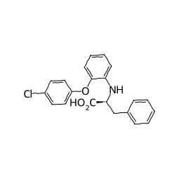 O=C(O)[C@H](Cc1ccccc1)Nc1ccccc1Oc1ccc(Cl)cc1